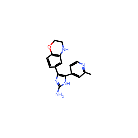 Cc1cc(-c2[nH]c(N)nc2-c2ccc3c(c2)NCCO3)ccn1